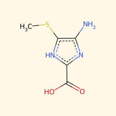 CSc1[nH]c(C(=O)O)nc1N